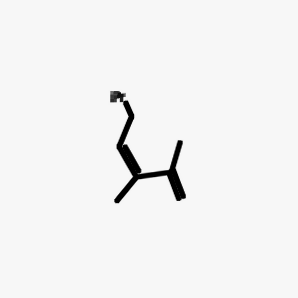 C=C(C)C(C)=CCC(C)C